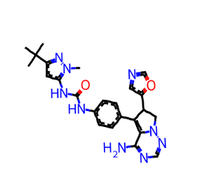 Cn1nc(C(C)(C)C)cc1NC(=O)Nc1ccc(C2=C3C(N)=NC=NN3CC2c2cnco2)cc1